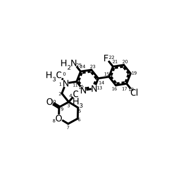 CN(CC1(C)CCCOC1=O)c1nnc(-c2cc(Cl)ccc2F)cc1N